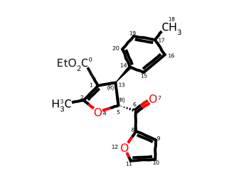 CCOC(=O)C1=C(C)O[C@@H](C(=O)c2ccco2)[C@@H]1c1ccc(C)cc1